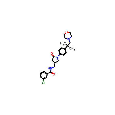 CC(C)(CN1CCOCC1)c1ccc(N2CC(CNC(=O)c3cccc(Cl)c3)CC2=O)cc1